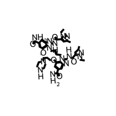 CCn1nc(C)cc1C(=O)Nc1nc2cc(C(N)=O)cc(OC)c2n1CC=CCn1c(NC(=O)c2cc(C)nn2CC)nc2cc(C(N)=O)cc(OCCCN3CCNCC3)c21